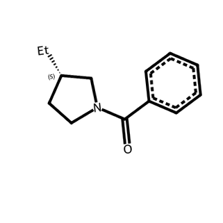 CC[C@H]1CCN(C(=O)c2ccccc2)C1